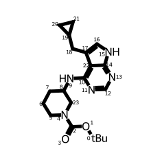 CC(C)(C)OC(=O)N1CCCC(Nc2ncnc3[nH]cc(CC4CC4)c23)C1